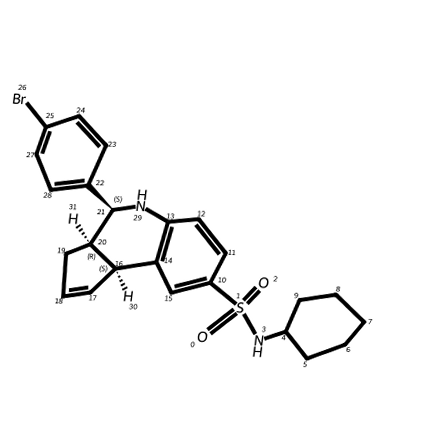 O=S(=O)(NC1CCCCC1)c1ccc2c(c1)[C@H]1C=CC[C@H]1[C@@H](c1ccc(Br)cc1)N2